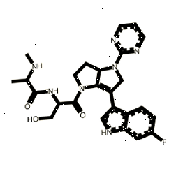 CNC(C)C(=O)NC(CO)C(=O)N1CCC2C1=C(c1c[nH]c3cc(F)ccc13)CN2c1ncccn1